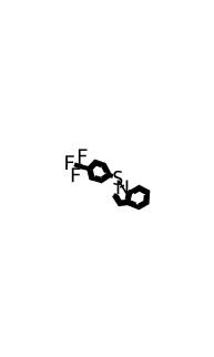 FC(F)(F)c1ccc(Sn2ccc3ccccc32)cc1